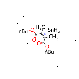 CCCCOC(=O)/C(C)=C(/C)C(=O)OCCCC.[SnH4]